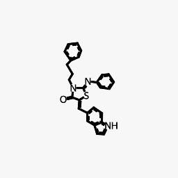 O=C1C(=Cc2ccc3[nH]ccc3c2)SC(=Nc2ccccc2)N1CCCc1ccccc1